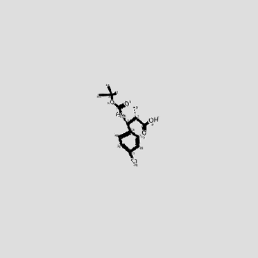 C[C@H](C(=O)O)[C@H](NC(=O)OC(C)(C)C)c1ccc(Cl)cc1